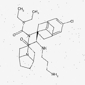 CCN(CC)C(=O)N(C1CCCCC1)C1CC2CCC(C1)N2C(=O)[C@@H](Cc1ccc(Cl)cc1)NCCCN